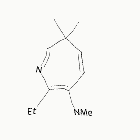 CCC1=C(NC)C=CC(C)(C)C=N1